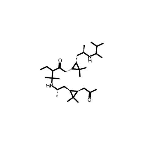 CCC(C(=O)C[C@@H]1[C@H](C[C@@H](C)NC(C)C(C)C)C1(C)C)C(C)(C)N[C@@H](C)C[C@H]1[C@@H](CC(C)=O)C1(C)C